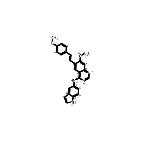 COc1ccc(/C=C/c2cc3c(Nc4ccc5[nH]ccc5c4)ncnc3cc2OC)cc1